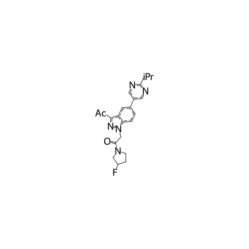 CC(=O)c1nn(CC(=O)N2CCC(F)C2)c2ccc(-c3cnc(C(C)C)nc3)cc12